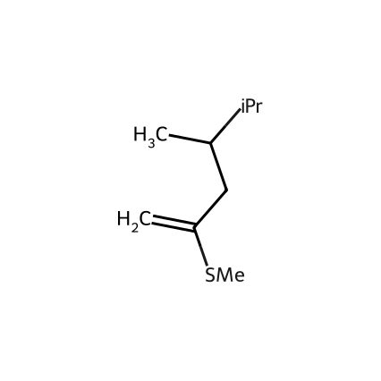 C=C(CC(C)C(C)C)SC